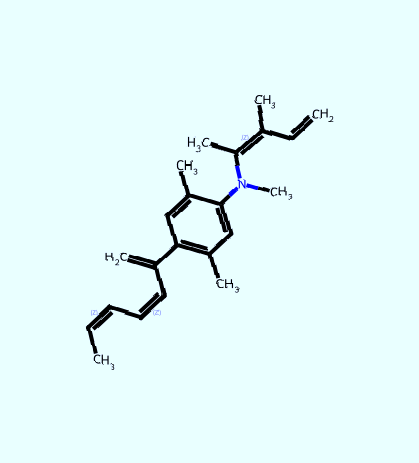 C=C/C(C)=C(/C)N(C)c1cc(C)c(C(=C)/C=C\C=C/C)cc1C